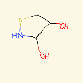 OC1CSNC1O